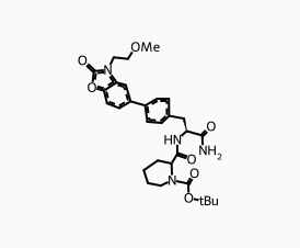 COCCn1c(=O)oc2ccc(-c3ccc(C[C@H](NC(=O)C4CCCCN4C(=O)OC(C)(C)C)C(N)=O)cc3)cc21